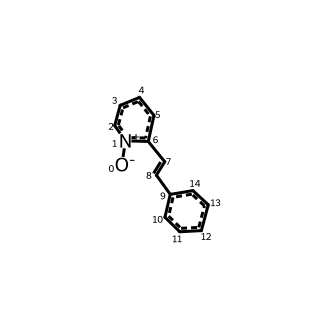 [O-][n+]1ccccc1/C=C/c1ccccc1